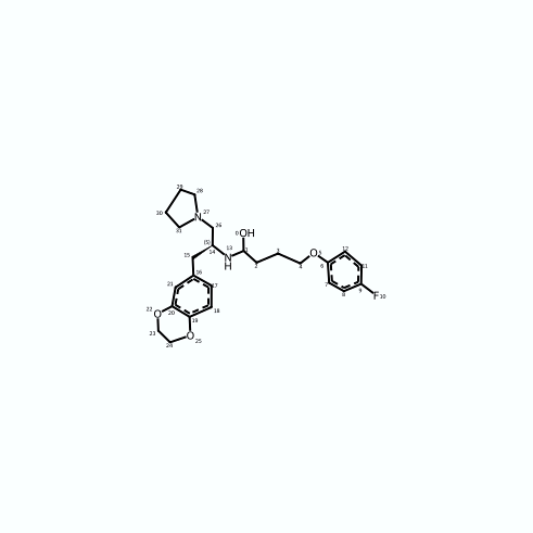 OC(CCCOc1ccc(F)cc1)N[C@@H](Cc1ccc2c(c1)OCCO2)CN1CCCC1